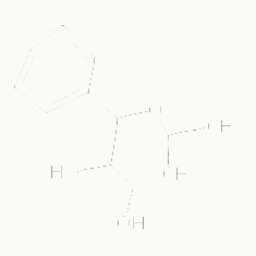 CC(C)OC(c1ccccc1)C(O)CO